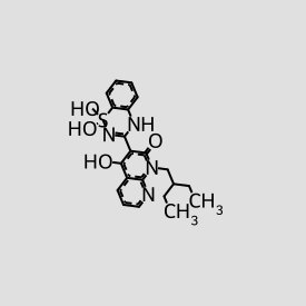 CCC(CC)Cn1c(=O)c(C2=NS(O)(O)c3ccccc3N2)c(O)c2cccnc21